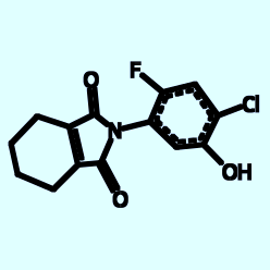 O=C1C2=C(CCCC2)C(=O)N1c1cc(O)c(Cl)cc1F